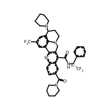 O=C(N[C@H](c1ccccc1)C(F)(F)F)c1c(CN2CCC(N3CCCCC3)CC2)c(-c2cccc(C(F)(F)F)c2)nc2ccc(C(=O)N3CCCCC3)cc12